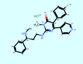 CC(C)N[C@@H](CCNc1nc(-c2ccncc2)c(-c2ccc(F)cc2)c(=O)n1C)c1ccccc1.Cl